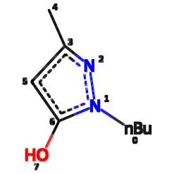 CCCCn1nc(C)cc1O